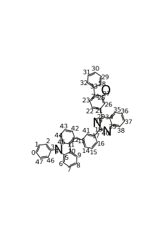 c1ccc(-n2c3ccccc3c3c(-c4cccc(-c5nc(-c6ccc7c(c6)oc6ccccc67)c6ccccc6n5)c4)cccc32)cc1